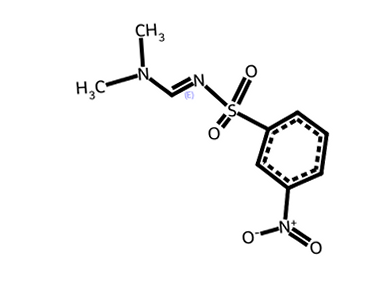 CN(C)/C=N/S(=O)(=O)c1cccc([N+](=O)[O-])c1